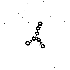 c1ccc2oc(-c3ccc4c(c3)c3cc(-c5nc6ccccc6o5)ccc3n4-c3ccc(-c4ccc5c(c4)oc4ccccc45)cc3)nc2c1